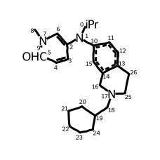 CC(C)N(C(/C=C\C=O)=C/N(C)C)c1ccc2c(c1)CN(CC1CCCCC1)CC2